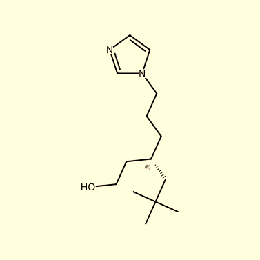 CC(C)(C)C[C@H](CCO)CCCn1ccnc1